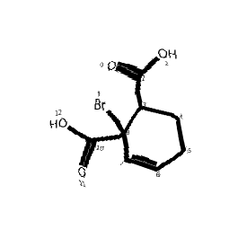 O=C(O)C1CCC=CC1(Br)C(=O)O